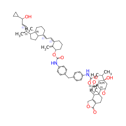 C=C1/C(=C\C=C2/CCC[C@@]3(C)C2CCC3[C@@H](C)/C=C/C(O)C2CC2)CCCC1OC(=O)Nc1ccc(Cc2ccc(NC(=O)O[C@H]3[C@]45O[C@H]4CC4C6=C(CCC4(C)[C@@]54OC4C[C@@]3(O)C(C)C)C(=O)OC6)cc2)cc1